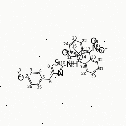 COc1ccc(Cc2csc(NC(=O)C3(C)CC4([N+](=O)[O-])c5ccccc5C3c3ccccc34)n2)cc1